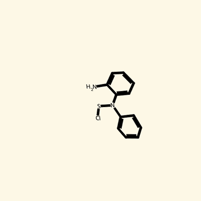 Nc1ccccc1N(SCl)c1ccccc1